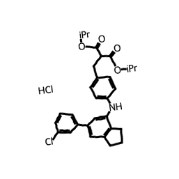 CC(C)OC(=O)C(Cc1ccc(Nc2cc(-c3cccc(Cl)c3)cc3c2CCC3)cc1)C(=O)OC(C)C.Cl